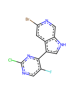 Fc1cnc(Cl)nc1-c1c[nH]c2cnc(Br)cc12